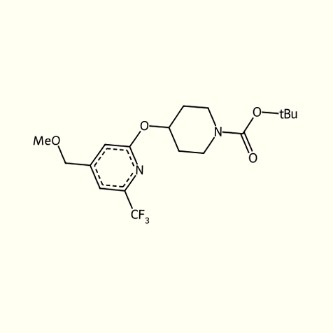 COCc1cc(OC2CCN(C(=O)OC(C)(C)C)CC2)nc(C(F)(F)F)c1